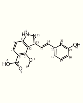 COc1c(C(=O)O)ccc2[nH]nc(C=Cc3cccc(O)n3)c12